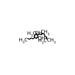 CCCCCC1=CC(C)(O)C(C/C=C(\C)CCC=C(C)C)C(O)=C1